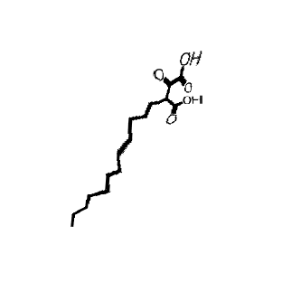 CCCCCCCCCCCCC(C(=O)O)C(=O)C(=O)O